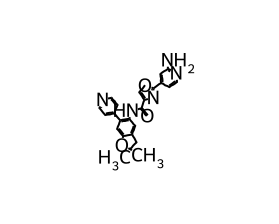 CC1(C)Cc2cc(NC(=O)c3coc(-c4ccnc(N)c4)n3)c(-c3ccncc3)cc2O1